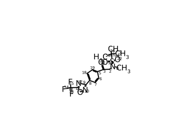 CN(CC(=O)c1ccc(-c2noc(C(F)(F)F)n2)cc1)S(=O)(=O)C(C)(C)C